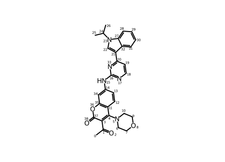 CC(=O)c1c(N2CCOCC2)c2ccc(Nc3nccc(-c4cn(C(C)C)c5ccccc45)n3)cc2oc1=O